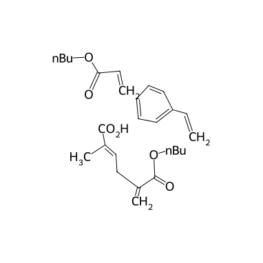 C=C(CC=C(C)C(=O)O)C(=O)OCCCC.C=CC(=O)OCCCC.C=Cc1ccccc1